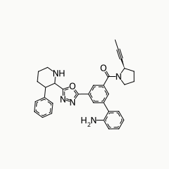 CC#C[C@H]1CCCN1C(=O)c1cc(-c2nnc(C3NCCCC3c3ccccc3)o2)cc(-c2ccccc2N)c1